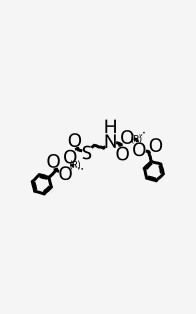 C[C@@H](OC(=O)NCCSC(=O)O[C@H](C)OC(=O)c1ccccc1)OC(=O)c1ccccc1